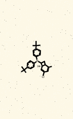 CC1=CC(Cl)=C[C@@H]2C1CC2N(c1ccc(C(C)(C)C)cc1)c1ccc(C(C)(C)C)cc1